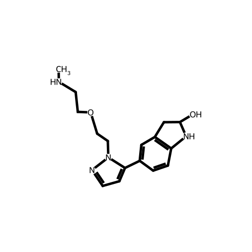 CNCCOCCn1nccc1-c1ccc2c(c1)CC(O)N2